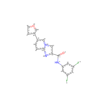 O=C(Nc1cc(F)cc(F)c1)c1cn2cc(-c3ccoc3)ccc2n1